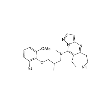 CCc1cccc(OC)c1OCC(C)CN(C)c1c2c(nc3ccnn13)CCNCC2